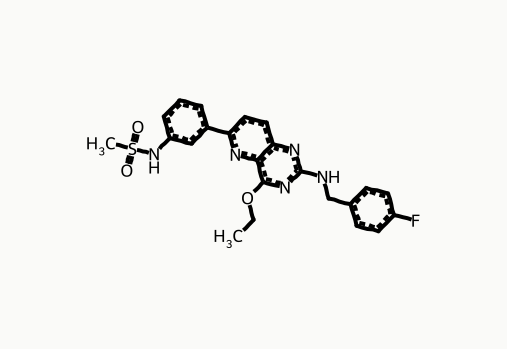 CCOc1nc(NCc2ccc(F)cc2)nc2ccc(-c3cccc(NS(C)(=O)=O)c3)nc12